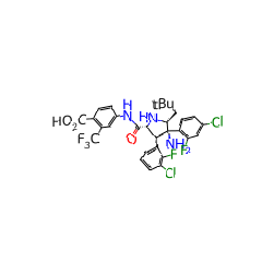 CC(C)(C)C[C@@H]1N[C@@H](C(=O)Nc2ccc(C(=O)O)c(C(F)(F)F)c2)[C@H](c2cccc(Cl)c2F)[C@@]1(N)c1ccc(Cl)cc1F